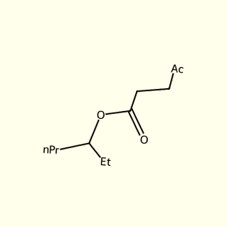 CCCC(CC)OC(=O)CCC(C)=O